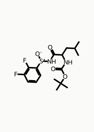 CC(C)CC(NC(=O)OC(C)(C)C)C(=O)N[S+]([O-])c1cccc(F)c1F